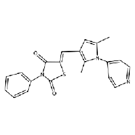 Cc1cc(C=C2SC(=O)N(c3ccccc3)C2=O)c(C)n1-c1ccncc1